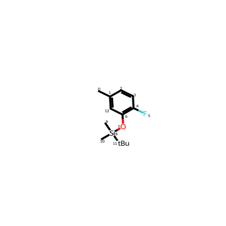 Cc1ccc(F)c(O[Si](C)(C)C(C)(C)C)c1